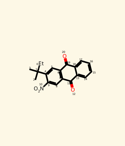 CCC(C)(C)c1cc2c(cc1[N+](=O)[O-])C(=O)c1ccccc1C2=O